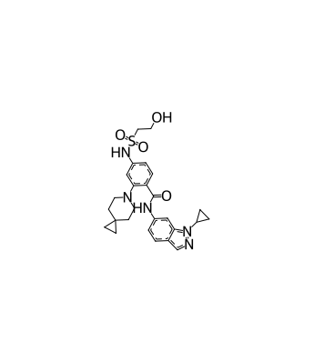 O=C(Nc1ccc2cnn(C3CC3)c2c1)c1ccc(NS(=O)(=O)CCO)cc1N1CCC2(CC1)CC2